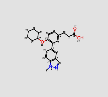 Cn1ncc2cc(-c3cc(CCC(=O)O)ccc3OC3CCCCC3)ccc21